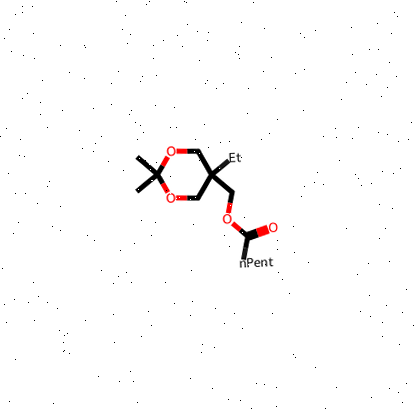 CCCCCC(=O)OCC1(CC)COC(C)(C)OC1